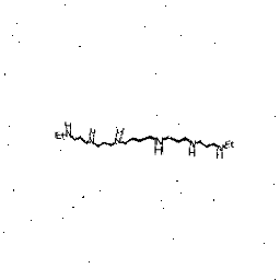 CCNCCCNCCCNCCCCNCCCNCCCNCC